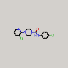 O=C(Nc1ccc(Cl)cc1)N1CCN(c2ncccc2Cl)CC1